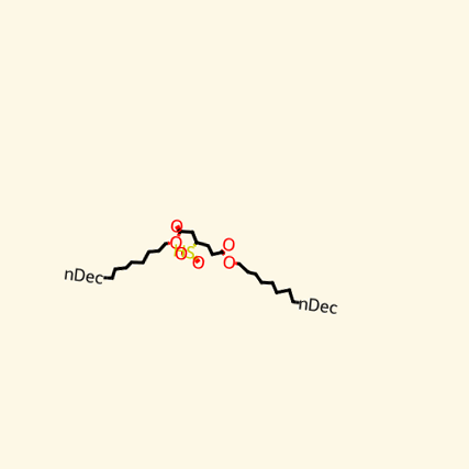 CCCCCCCCCCCCCCCCCCOC(=O)CCC(CC(=O)OCCCCCCCCCCCCCCCCCC)[SH](=O)=O